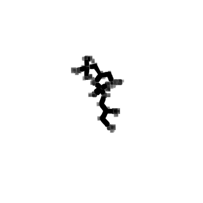 C[N+](C)(C)C[C@@H](CC(=O)[O-])OP(=O)(O)OCC(O)CO